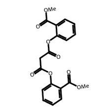 COC(=O)c1ccccc1OC(=O)CC(=O)Oc1ccccc1C(=O)OC